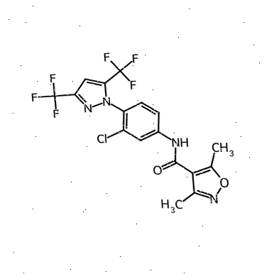 Cc1noc(C)c1C(=O)Nc1ccc(-n2nc(C(F)(F)F)cc2C(F)(F)F)c(Cl)c1